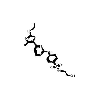 CCNc1nc(C)c(-c2ccnc(Nc3ccc(S(=O)(=O)NCCO)cc3)n2)s1